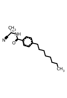 CCCCCCCCc1ccc(C(=O)N[C@@H](C)C#N)cc1